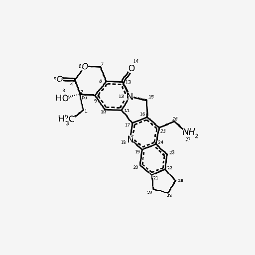 CC[C@@]1(O)C(=O)OCc2c1cc1n(c2=O)Cc2c-1nc1cc3c(cc1c2CN)CCC3